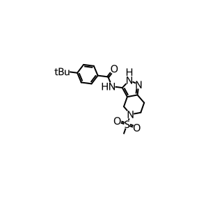 CC(C)(C)c1ccc(C(=O)Nc2[nH]nc3c2CN(S(C)(=O)=O)CC3)cc1